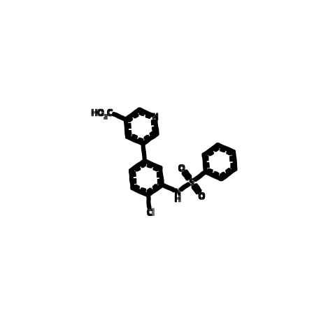 O=C(O)c1cncc(-c2ccc(Cl)c(NS(=O)(=O)c3ccccc3)c2)c1